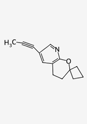 CC#Cc1cnc2c(c1)CCC1(CCC1)O2